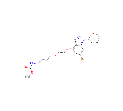 CC(C)(C)OC(=O)NCCCCOCCOc1cc(Br)cc2c1cnn2C1CCCCO1